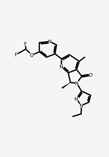 CCn1ccc(N2C(=O)c3c(C)cc(-c4cncc(OC(F)F)c4)nc3[C@@H]2C)n1